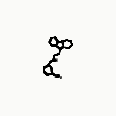 Nc1cccc(CNCCc2c3n(c4ccccc24)CCCC3)c1